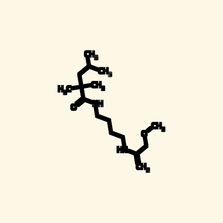 C=C(COC)NCCCCNC(=O)C(C)(C)CC(C)C